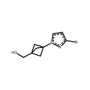 OCC12CC(n3ccc(Br)n3)(C1)C2